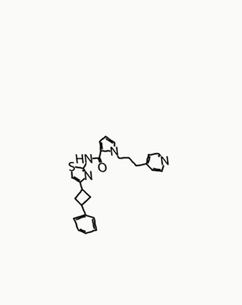 O=C(Nc1nc(C2CC(c3ccccc3)C2)cs1)c1cccn1CCCc1ccncc1